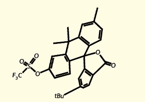 Cc1ccc2c(c1)C(C)(C)c1cc(OS(=O)(=O)C(F)(F)F)ccc1C21OC(=O)c2ccc(C(C)(C)C)cc21